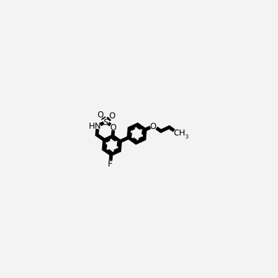 CCCOc1ccc(-c2cc(F)cc3c2OS(=O)(=O)NC3)cc1